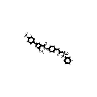 COc1ccc(-c2cc(C(=O)Nc3ccc(CC(=O)NS(=O)(=O)c4ccccc4)cc3)c(C)o2)cc1